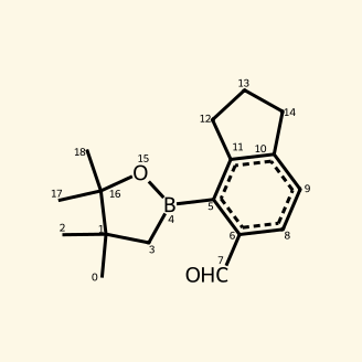 CC1(C)CB(c2c(C=O)ccc3c2CCC3)OC1(C)C